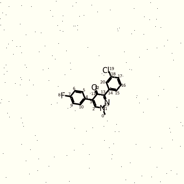 Cn1cc(-c2ccc(F)cc2)c(=O)c(-c2cccc(Cl)c2)n1